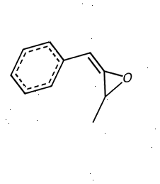 CC1OC1=Cc1ccccc1